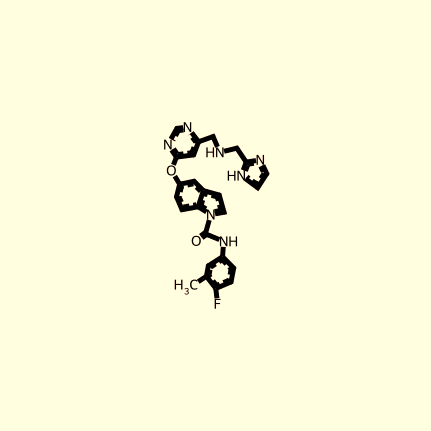 Cc1cc(NC(=O)n2ccc3cc(Oc4cc(CNCc5ncc[nH]5)ncn4)ccc32)ccc1F